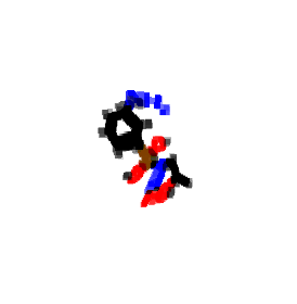 CC(O)CNS(=O)(=O)c1cccc(N)c1